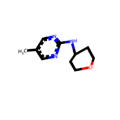 Cc1cnc(NC2CCOCC2)nc1